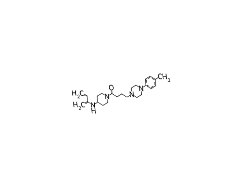 C=CC(=C)NC1CCN(C(=O)CCCN2CCN(c3ccc(C)cc3)CC2)CC1